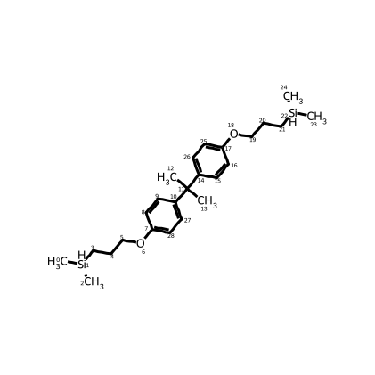 C[SiH](C)CCCOc1ccc(C(C)(C)c2ccc(OCCC[SiH](C)C)cc2)cc1